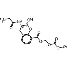 CC(C)OC(=O)OCOC(=O)c1cccc2c1OB(O)[C@@H](NC(=O)CC(F)(F)F)C2